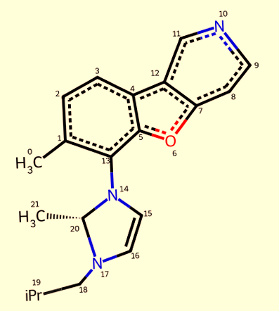 Cc1ccc2c(oc3ccncc32)c1N1C=CN(CC(C)C)[C@@H]1C